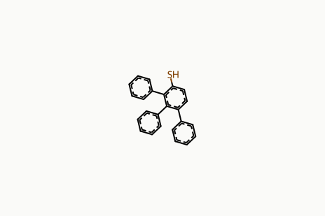 Sc1ccc(-c2ccccc2)c(-c2ccccc2)c1-c1ccccc1